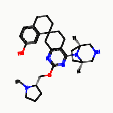 CC(C)N1CCC[C@H]1COc1nc2c(c(N3[C@@H]4CC[C@H]3CNC4)n1)CCC1(CCCc3ccc(O)cc31)C2